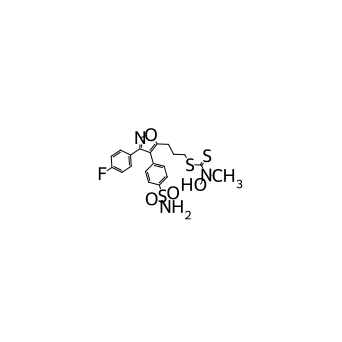 CN(O)C(=S)SCCCc1onc(-c2ccc(F)cc2)c1-c1ccc(S(N)(=O)=O)cc1